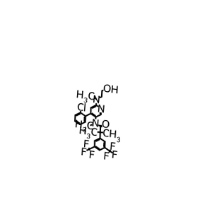 CN(CCO)c1cc(-c2ccccc2Cl)c(N(C)C(=O)C(C)(C)c2cc(C(F)(F)F)cc(C(F)(F)F)c2)cn1